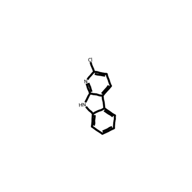 Clc1ccc2c(n1)[nH]c1ccccc12